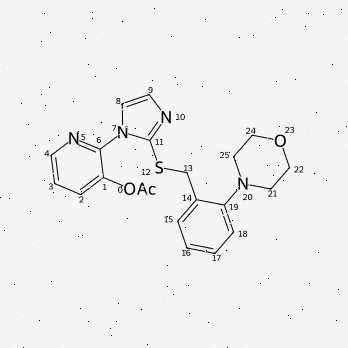 CC(=O)Oc1cccnc1-n1ccnc1SCc1ccccc1N1CCOCC1